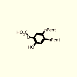 CCCCCc1cc(O)c(OC(=O)O)cc1CCCCC